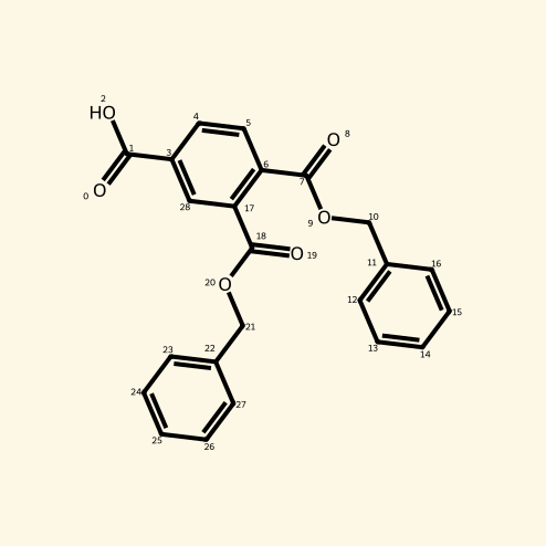 O=C(O)c1ccc(C(=O)OCc2ccccc2)c(C(=O)OCc2ccccc2)c1